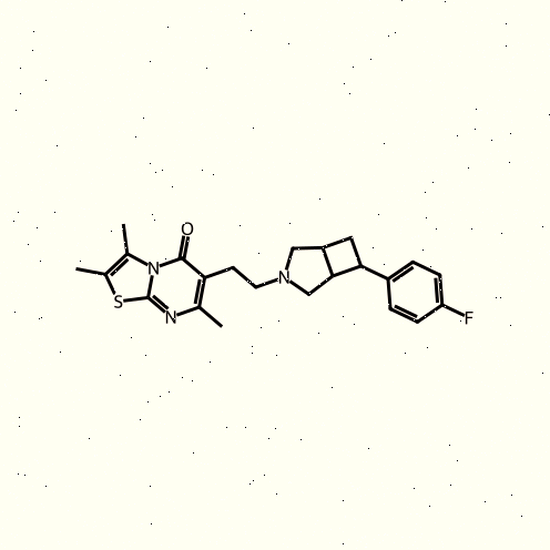 Cc1nc2sc(C)c(C)n2c(=O)c1CCN1CC2CC(c3ccc(F)cc3)C2C1